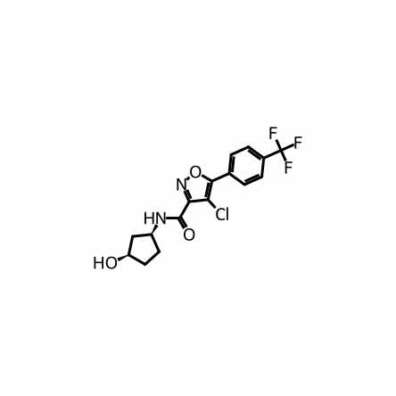 O=C(N[C@H]1CC[C@@H](O)C1)c1noc(-c2ccc(C(F)(F)F)cc2)c1Cl